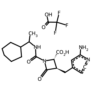 CC(NC(=O)N1C(=O)[C@H](Cc2ccnc(N)c2)[C@H]1C(=O)O)C1CCCCC1.O=C(O)C(F)(F)F